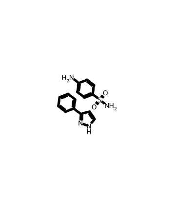 Nc1ccc(S(N)(=O)=O)cc1.c1ccc(-c2cc[nH]n2)cc1